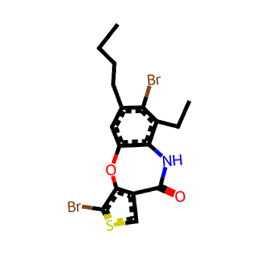 CCCCc1cc2c(c(CC)c1Br)NC(=O)c1csc(Br)c1O2